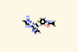 Cc1cc(Nc2nc(Sc3ccc(NC(=O)C4CC4)cc3)cn3c(C)cnc23)n[nH]1